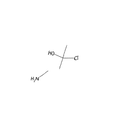 CC(C)(O)Cl.CN